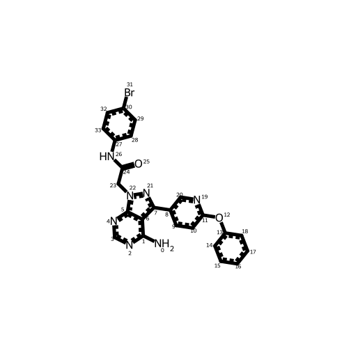 Nc1ncnc2c1c(-c1ccc(Oc3ccccc3)nc1)nn2CC(=O)Nc1ccc(Br)cc1